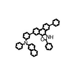 c1ccc(-c2ccc3c(c2)c2c(c4cc(-c5cccc(N(c6ccccc6)c6ccc7ccccc7c6)c5)ccc43)OC(c3ccccc3)N2)cc1